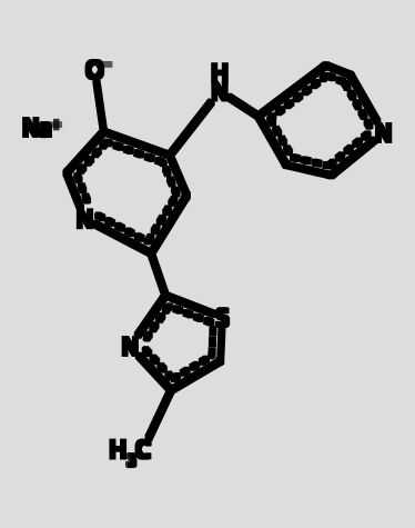 Cc1csc(-c2cc(Nc3ccncc3)c([O-])cn2)n1.[Na+]